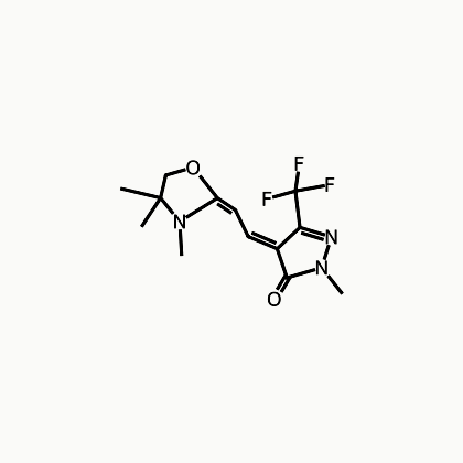 CN1N=C(C(F)(F)F)/C(=C\C=C2\OCC(C)(C)N2C)C1=O